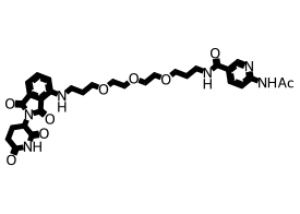 CC(=O)Nc1ccc(C(=O)NCCCOCCOCCOCCCNc2cccc3c2C(=O)N(C2CCC(=O)NC2=O)C3=O)cn1